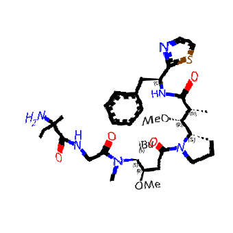 CC[C@H](C)[C@@H]([C@@H](CC(=O)N1CCC[C@H]1[C@H](OC)[C@@H](C)C(=O)N[C@@H](Cc1ccccc1)c1nccs1)OC)N(C)C(=O)CNC(=O)C(C)(C)N